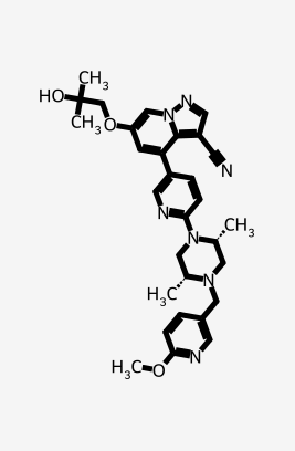 COc1ccc(CN2C[C@@H](C)N(c3ccc(-c4cc(OCC(C)(C)O)cn5ncc(C#N)c45)cn3)C[C@H]2C)cn1